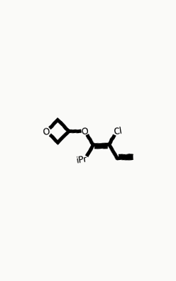 C=C/C(Cl)=C(/OC1COC1)C(C)C